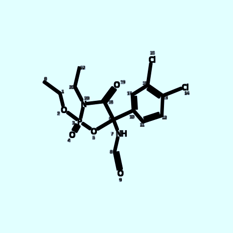 CCOP1(=O)OC(NC=O)(c2ccc(Cl)c(Cl)c2)C(=O)N1CC